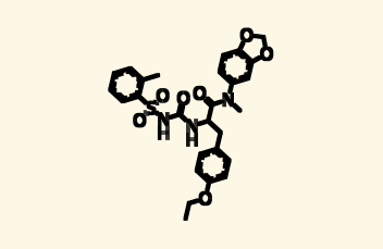 CCOc1ccc(CC(NC(=O)NS(=O)(=O)c2ccccc2C)C(=O)N(C)c2ccc3c(c2)OCO3)cc1